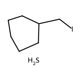 ICC1CCCCC1.S